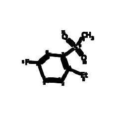 CCc1ccc(F)cc1S(C)(=O)=O